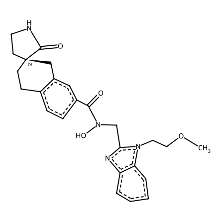 COCCn1c(CN(O)C(=O)c2ccc3c(c2)C[C@]2(CCNC2=O)CC3)nc2ccccc21